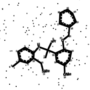 CCCC(C)(Pc1ccc(C)cc1CNC)c1cc(OC)ccc1OCc1ccccc1